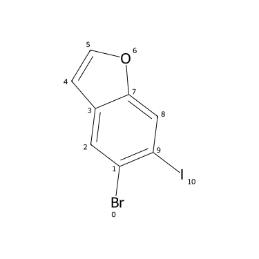 Brc1cc2ccoc2cc1I